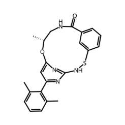 Cc1cccc(C)c1-c1cc2nc(n1)NSc1cccc(c1)C(=O)NC[C@@H](C)O2